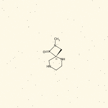 CN1C[C@@]2(CNCCN2)C1=O